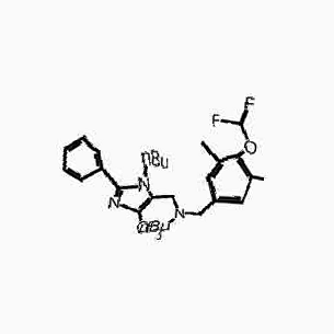 CCCCN(Cc1cc(C)c(OC(F)F)c(C)c1)Cc1c(C(F)(F)F)nc(-c2ccccc2)n1CCCC